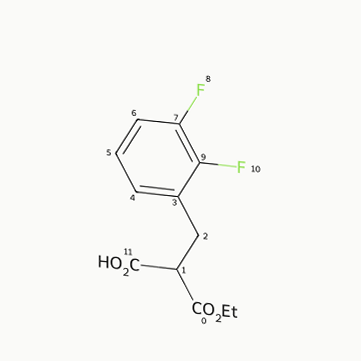 CCOC(=O)C(Cc1cccc(F)c1F)C(=O)O